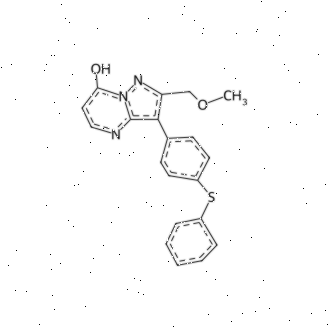 COCc1nn2c(O)ccnc2c1-c1ccc(Sc2ccccc2)cc1